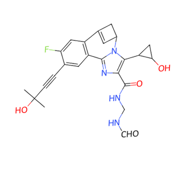 CC(C)(O)C#Cc1cc2c(cc1F)C1=CC(C1)n1c-2nc(C(=O)NCNC=O)c1C1CC1O